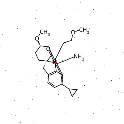 COCCN1C(=O)[C@@]2(N=C1N)c1cc(C3CC3)ccc1C[C@]21CC[C@H](OC)CC1